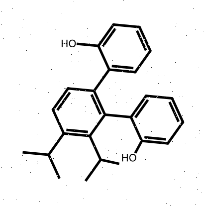 CC(C)c1c[c]c(-c2ccccc2O)c(-c2ccccc2O)c1C(C)C